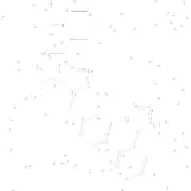 Cc1nc2c(C3CCCCC3=O)nnc(O)c2n1Cc1ccc(-c2ccccc2-c2nnn[nH]2)cc1